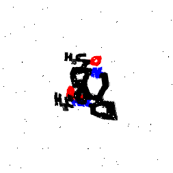 COC(=O)C12CC3C=C(C(C)=O)C1N(CCc1c2[nH]c2ccccc12)C3